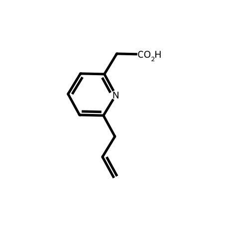 C=CCc1cccc(CC(=O)O)n1